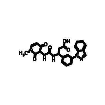 CN1C=CC(=O)C(NC(=O)NC(CC(=O)O)c2cccc(-n3ncc4ccccc43)c2)C1=O